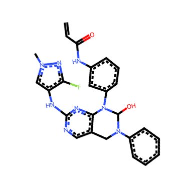 C=CC(=O)Nc1cccc(N2c3nc(Nc4cn(C)nc4F)ncc3CN(c3ccccc3)C2O)c1